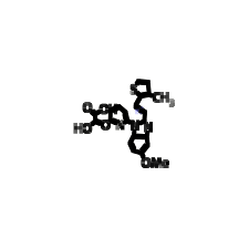 COc1ccc2c(c1)nc(/C=C/c1sccc1C)n2-c1ccccn1.O=C(O)C(=O)O